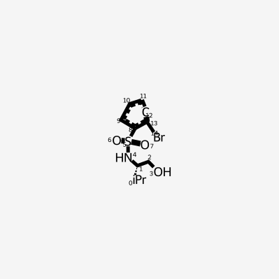 CC(C)[C@@H](CO)NS(=O)(=O)c1ccccc1Br